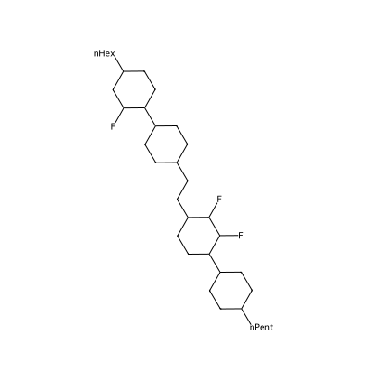 CCCCCCC1CCC(C2CCC(CCC3CCC(C4CCC(CCCCC)CC4)C(F)C3F)CC2)C(F)C1